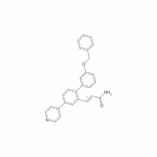 NC(=O)/C=C/c1cc(-c2ccncc2)ccc1-c1cccc(OCc2ccccc2)c1